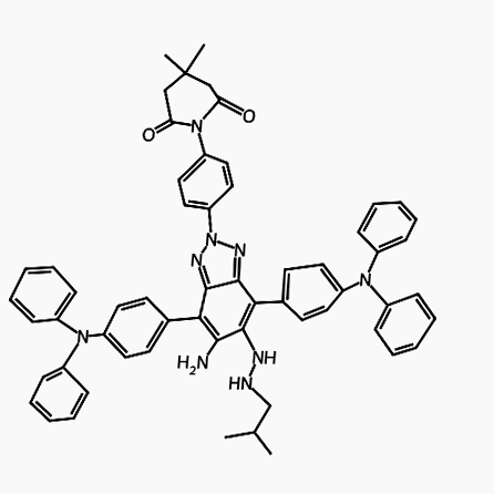 CC(C)CNNc1c(N)c(-c2ccc(N(c3ccccc3)c3ccccc3)cc2)c2nn(-c3ccc(N4C(=O)CC(C)(C)CC4=O)cc3)nc2c1-c1ccc(N(c2ccccc2)c2ccccc2)cc1